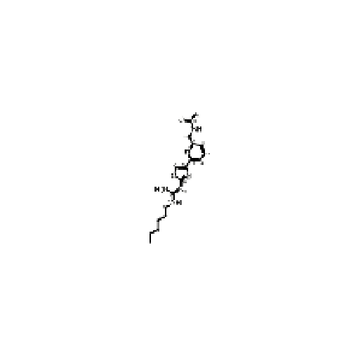 CCCCCCN/C(N)=N/c1nc(-c2cccc(CNC(C)=O)n2)co1